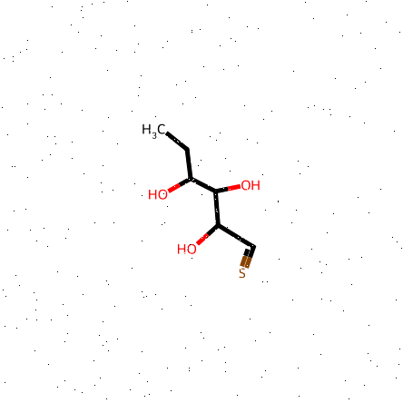 CCC(O)C(O)C(O)C=S